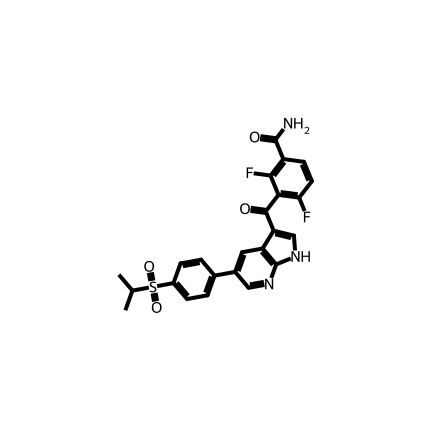 CC(C)S(=O)(=O)c1ccc(-c2cnc3[nH]cc(C(=O)c4c(F)ccc(C(N)=O)c4F)c3c2)cc1